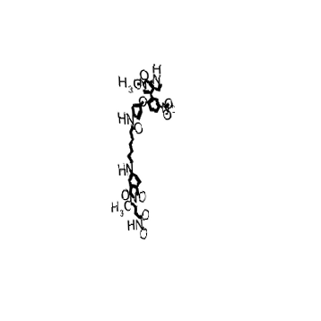 CC(CCC(=O)NC=O)N1C(=O)c2ccc(NCCCCCCC(=O)Nc3ccc(Oc4ccc([N+](=O)[O-])cc4-c4cn(C)c(=O)c5[nH]ccc45)cc3)cc2C1=O